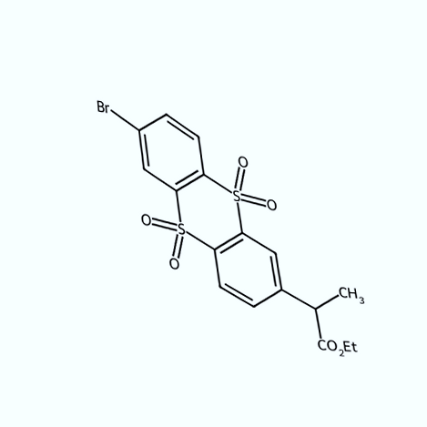 CCOC(=O)C(C)c1ccc2c(c1)S(=O)(=O)c1ccc(Br)cc1S2(=O)=O